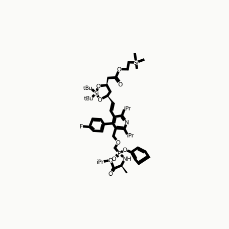 CC(C)OC(=O)[C@H](C)NP(=O)(COCc1c(C(C)C)nc(C(C)C)c(/C=C/[C@@H]2C[C@H](CC(=O)OCC[Si](C)(C)C)O[Si](C(C)(C)C)(C(C)(C)C)O2)c1-c1ccc(F)cc1)Oc1ccccc1